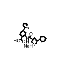 O=C(Nc1cc(-c2cccs2)ccc1C(=O)O)c1cncc(-c2ccccc2)c1.[NaH]